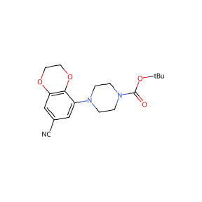 CC(C)(C)OC(=O)N1CCN(c2cc(C#N)cc3c2OCCO3)CC1